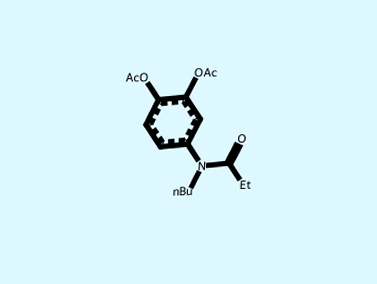 CCCCN(C(=O)CC)c1ccc(OC(C)=O)c(OC(C)=O)c1